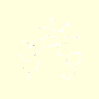 C=C(OC(C)C)[C@H](C)NP(=O)(OC[C@@H]1C[C@@](C)(F)[C@H](n2ccc(=O)[nH]c2=O)O1)Oc1cccc2nccnc12